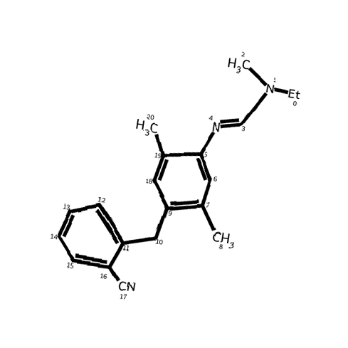 CCN(C)C=Nc1cc(C)c(Cc2ccccc2C#N)cc1C